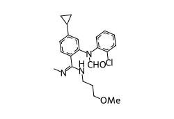 C/N=C(/NCCCOC)c1ccc(C2CC2)cc1N(C=O)c1ccccc1Cl